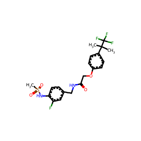 CC(C)(c1ccc(OCC(=O)NCc2ccc(NS(C)(=O)=O)c(F)c2)cc1)C(F)(F)F